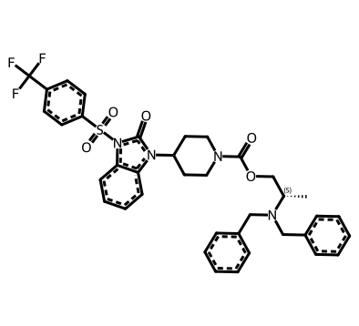 C[C@@H](COC(=O)N1CCC(n2c(=O)n(S(=O)(=O)c3ccc(C(F)(F)F)cc3)c3ccccc32)CC1)N(Cc1ccccc1)Cc1ccccc1